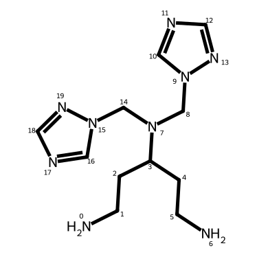 NCCC(CCN)N(Cn1cncn1)Cn1cncn1